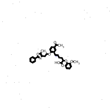 COc1ccccc1OC(CC/C=C/c1cc(C(C)=O)ccc1OCCc1nc(-c2ccccc2)oc1C)C(=O)O